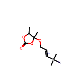 CC1OC(=O)OC1(C)OC/C=C/[Si](C)(C)I